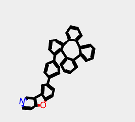 c1ccc2c(c1)-c1ccccc1-c1cccc(-c3ccc(-c4ccc5oc6ccncc6c5c4)cc3)c1-c1ccccc1-2